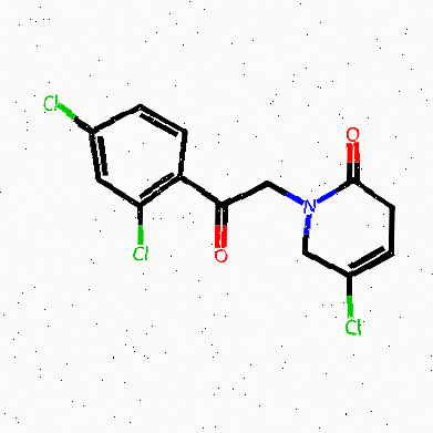 O=C(CN1CC(Cl)=CCC1=O)c1ccc(Cl)cc1Cl